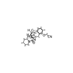 CC1(C)[C@H]2Cc3c(OCC#N)cccc3[C@]1(C)CCN2C(=O)N1CCCCC1